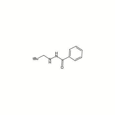 CC(C)(C)CNNC(=O)c1ccccc1